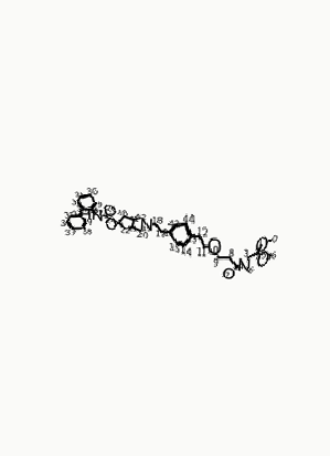 COC(CN(C)C(=O)CCOCCc1ccc(CCN2CC3CC(OC(=O)Nc4ccccc4-c4ccccc4)CC3C2)cc1)OC